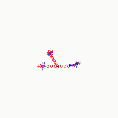 O=C(O)NCCNC(=O)CCOCCOCCOCCOCCOCCOCCN(CCOCCOCCOCCOCCOCCOCCC(=O)NCCNC(=O)O)C(=O)CCOCCOCCOCCOCCOCCOCCn1cc(CNC(=O)CCCC[C@@H]2SC[C@@H]3NC(=O)N[C@@H]32)nn1